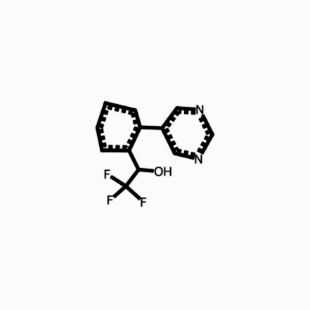 OC(c1ccccc1-c1cncnc1)C(F)(F)F